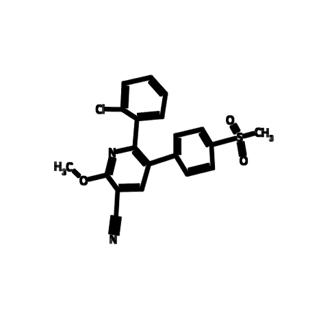 COc1nc(-c2ccccc2Cl)c(-c2ccc(S(C)(=O)=O)cc2)cc1C#N